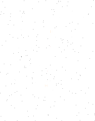 c1ccc([PH2](OC2C3CCC(C3)C2O[PH2](c2ccccc2)c2ccccc2)c2ccccc2)cc1